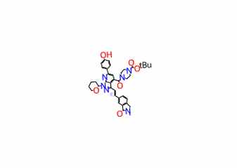 CN1Cc2ccc(/C=C/c3nn(C4CCCCO4)c4nc(-c5ccc(O)cc5)cc(C(=O)N5CCN(C(=O)OC(C)(C)C)CC5)c34)cc2C1=O